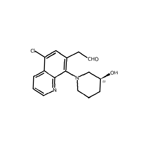 O=CCc1cc(Cl)c2cccnc2c1N1CCC[C@H](O)C1